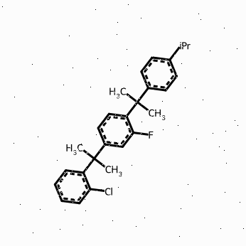 CC(C)c1ccc(C(C)(C)c2ccc(C(C)(C)c3ccccc3Cl)cc2F)cc1